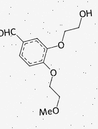 COCCOc1ccc(C=O)cc1OCCO